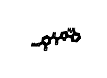 COc1ccc(NC(=O)c2ccc(-c3ccccc3N)o2)cc1Cl